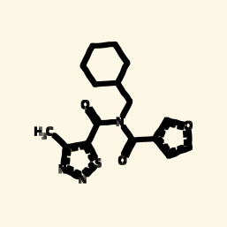 Cc1nnsc1C(=O)N(CC1CCCCC1)C(=O)c1ccoc1